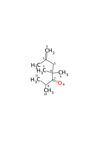 C=C(C)CC(C)(C)C(=O)C(C)C